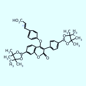 CC1(C)OB(c2ccc(-c3c(Oc4ccc(/C=C/C(=O)O)cc4)c4ccc(B5OC(C)(C)C(C)(C)O5)cc4oc3=O)cc2)OC1(C)C